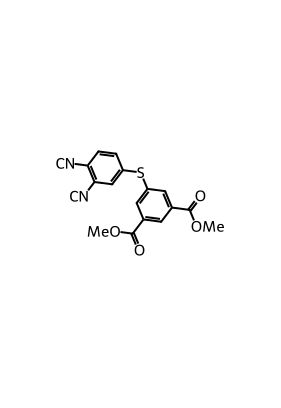 [C-]#[N+]c1ccc(Sc2cc(C(=O)OC)cc(C(=O)OC)c2)cc1[N+]#[C-]